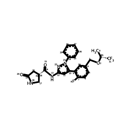 C[C@@H](OCc1ccc(F)c(-c2cc(NC(=O)[C@@H]3CNC(=O)C3)nn2-c2ccccc2)c1)C(F)(F)F